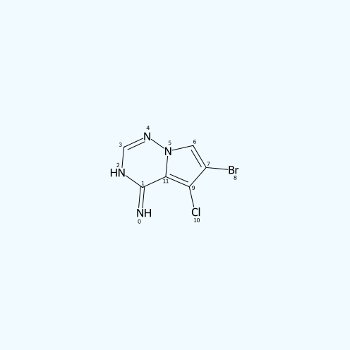 N=c1[nH]cnn2cc(Br)c(Cl)c12